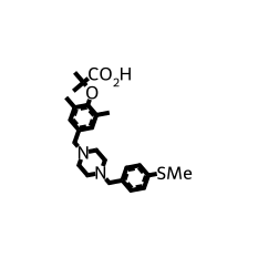 CSc1ccc(CN2CCN(Cc3cc(C)c(OC(C)(C)C(=O)O)c(C)c3)CC2)cc1